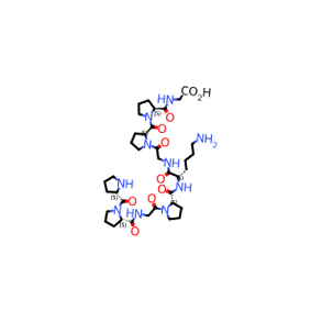 NCCCC[C@H](NC(=O)[C@@H]1CCCN1C(=O)CNC(=O)[C@@H]1CCCN1C(=O)[C@@H]1CCCN1)C(=O)NCC(=O)N1CCC[C@H]1C(=O)N1CCC[C@H]1C(=O)NCC(=O)O